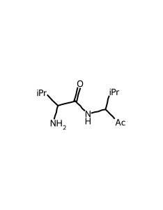 CC(=O)C(NC(=O)C(N)C(C)C)C(C)C